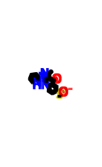 Cc1nn(-c2ccccn2)c2[nH]c3ccc([S+](C)[O-])cc3c(=O)c12